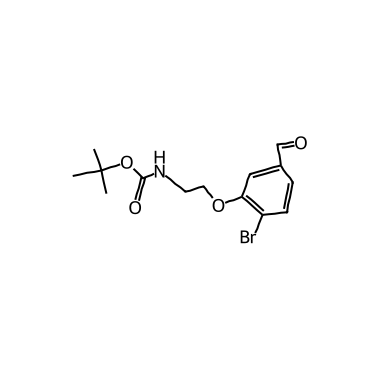 CC(C)(C)OC(=O)NCCOc1cc(C=O)ccc1Br